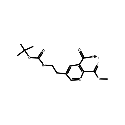 COC(=O)c1ncc(CCNC(=O)OC(C)(C)C)cc1C(N)=O